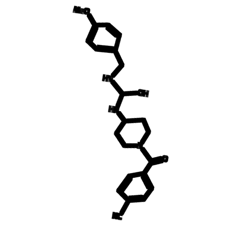 COc1ccc(CNC(O)NC2CCN(C(=O)c3ccc(C#N)cc3)CC2)cc1